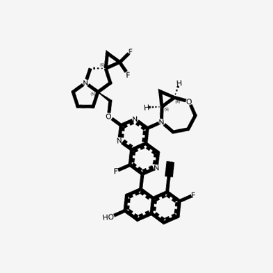 C#Cc1c(F)ccc2cc(O)cc(-c3ncc4c(N5CCCO[C@@H]6C[C@@H]65)nc(OC[C@@]56CCCN5C[C@@]5(CC5(F)F)C6)nc4c3F)c12